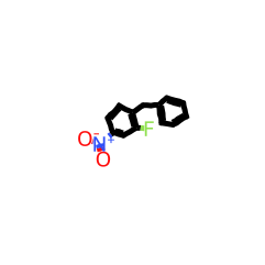 O=[N+]([O-])c1ccc(Cc2ccccc2)c(F)c1